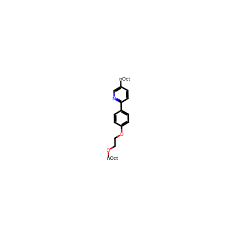 CCCCCCCCOCCOc1ccc(-c2ccc(CCCCCCCC)cn2)cc1